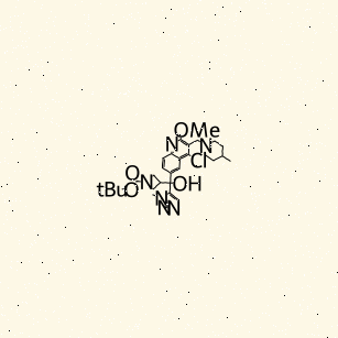 COc1nc2ccc(C(O)(c3cnnn3C)C3CN(C(=O)OC(C)(C)C)C3)cc2c(Cl)c1CN1CCC(C)CC1